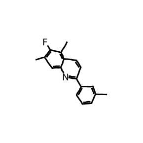 Cc1cccc(-c2ccc3c(C)c(F)c(C)cc3n2)c1